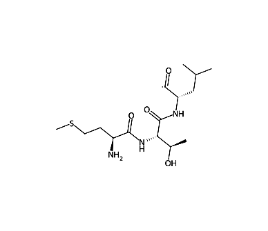 CSCC[C@H](N)C(=O)N[C@H](C(=O)N[C@H]([C]=O)CC(C)C)[C@@H](C)O